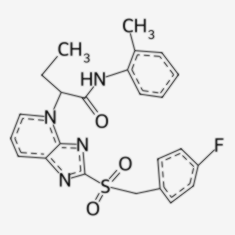 CCC(C(=O)Nc1ccccc1C)n1cccc2nc(S(=O)(=O)Cc3ccc(F)cc3)nc1-2